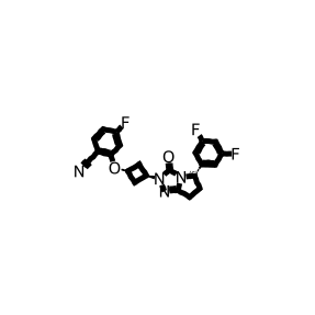 N#Cc1ccc(F)cc1O[C@H]1C[C@H](n2nc3n(c2=O)[C@H](c2cc(F)cc(F)c2)CC3)C1